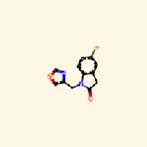 O=C1Cc2cc(Br)ccc2N1Cc1cocn1